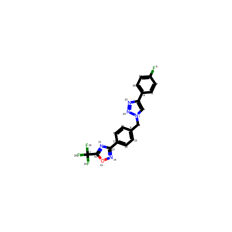 Fc1ccc(-c2cn(Cc3ccc(-c4noc(C(F)(F)F)n4)cc3)nn2)cc1